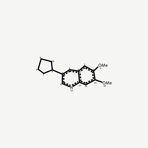 COc1cc2cc(C3CCCC3)cnc2cc1OC